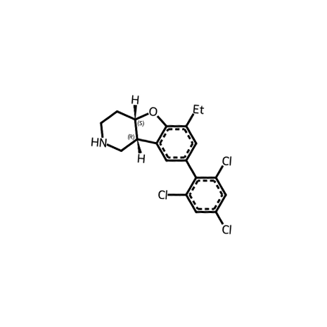 CCc1cc(-c2c(Cl)cc(Cl)cc2Cl)cc2c1O[C@H]1CCNC[C@@H]21